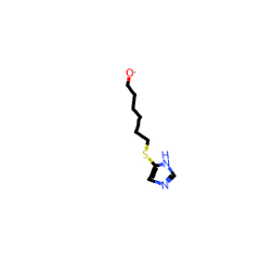 [O]CCCCCCSc1cnc[nH]1